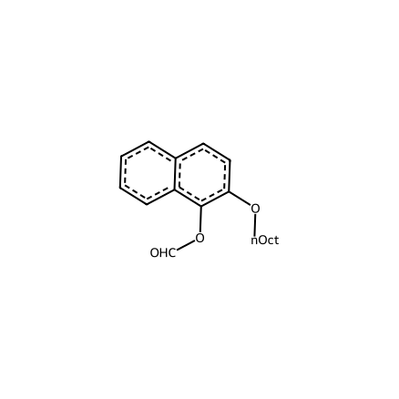 CCCCCCCCOc1ccc2ccccc2c1OC=O